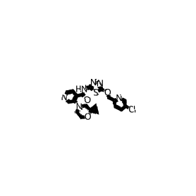 O=C(Nc1nnc(OCc2ccc(Cl)cn2)s1)c1ccncc1N1CCOC2(CC2)C1